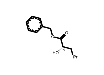 CC(C)C[C@H](O)C(=O)OCc1ccccc1